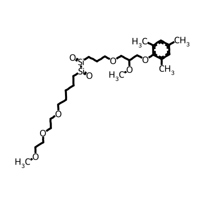 COCCOCCOCCCCC[Si](=O)[Si](=O)CCCOCC(COc1c(C)cc(C)cc1C)OC